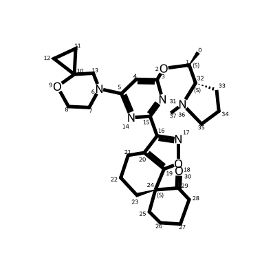 C[C@H](Oc1cc(N2CCOC3(CC3)C2)nc(-c2noc3c2CCC[C@@]32CCCCC2=O)n1)[C@@H]1CCCN1C